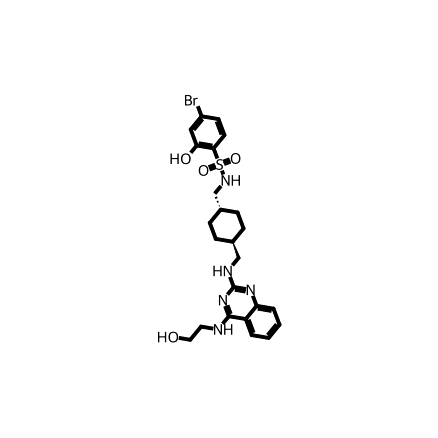 O=S(=O)(NC[C@H]1CC[C@H](CNc2nc(NCCO)c3ccccc3n2)CC1)c1ccc(Br)cc1O